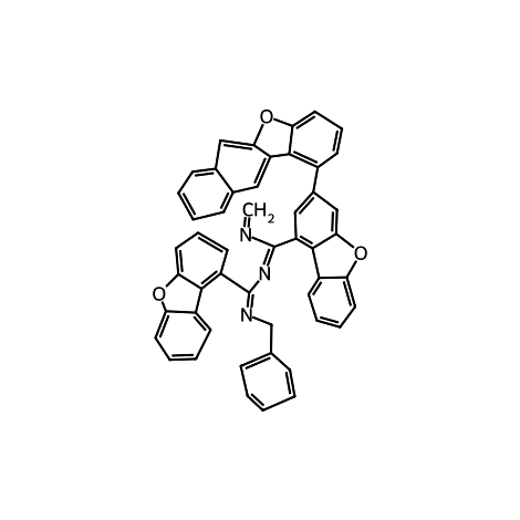 C=N/C(=N\C(=N/Cc1ccccc1)c1cccc2oc3ccccc3c12)c1cc(-c2cccc3oc4cc5ccccc5cc4c23)cc2oc3ccccc3c12